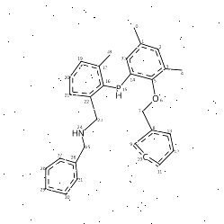 Cc1cc(C)c(OCc2ccccc2)c(Pc2c(C)cccc2CNCc2ccccc2)c1